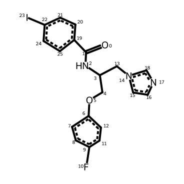 O=C(NC(COc1ccc(F)cc1)Cn1ccnc1)c1ccc(I)cc1